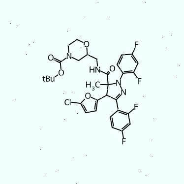 CC(C)(C)OC(=O)N1CCOC(CNC(=O)C2(C)C(c3ccc(Cl)o3)C(c3ccc(F)cc3F)=NN2c2ccc(F)cc2F)C1